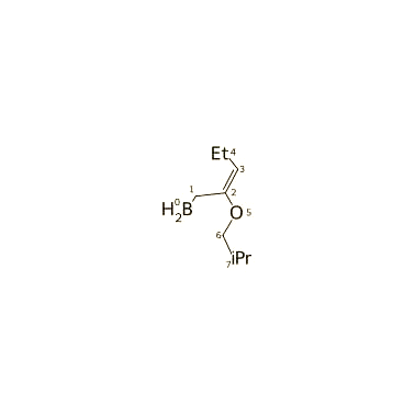 BC/C(=C\CC)OCC(C)C